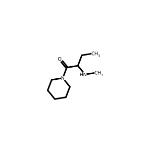 CCC(NC)C(=O)N1CCCCC1